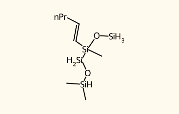 CCCC=C[Si](C)(O[SiH3])[SiH2]O[SiH](C)C